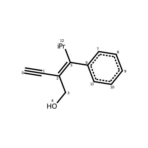 C#CC(CO)=C(c1ccccc1)C(C)C